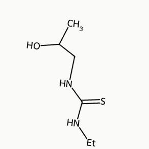 CCNC(=S)NCC(C)O